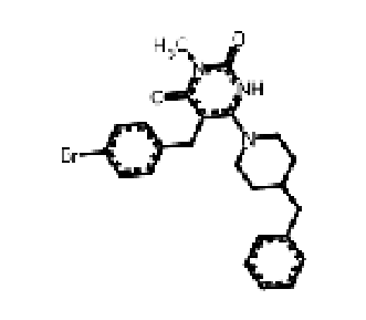 Cn1c(=O)[nH]c(N2CCC(Cc3ccccc3)CC2)c(Cc2ccc(Br)cc2)c1=O